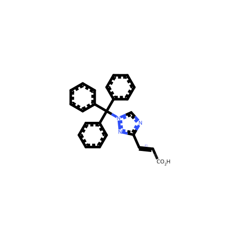 O=C(O)/C=C/c1ncn(C(c2ccccc2)(c2ccccc2)c2ccccc2)n1